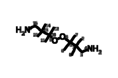 CC(C)(CN)C(C)(C)OOC(C)(C)C(C)(C)CN